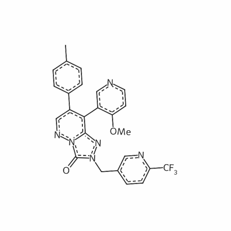 COc1ccncc1-c1c(-c2ccc(C)cc2)cnn2c(=O)n(Cc3ccc(C(F)(F)F)nc3)nc12